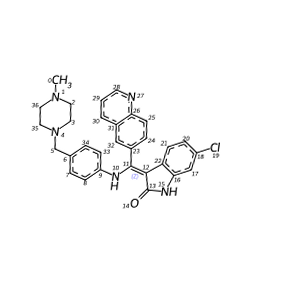 CN1CCN(Cc2ccc(N/C(=C3\C(=O)Nc4cc(Cl)ccc43)c3ccc4ncccc4c3)cc2)CC1